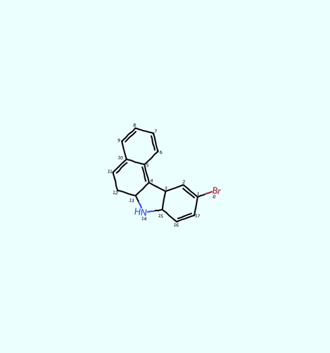 BrC1=CC2C3=c4ccccc4=CCC3NC2C=C1